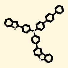 c1ccc(-c2ccc(-c3ccc(N(c4ccc(-c5ccc6sc7ccccc7c6c5)cc4)c4ccc(-c5cc6ccccc6s5)cc4)cc3)cc2)cc1